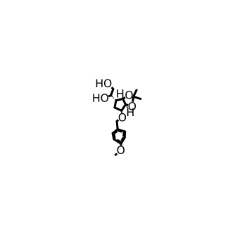 COc1ccc(CO[C@H]2C[C@H](C(O)CO)[C@H]3OC(C)(C)O[C@H]32)cc1